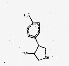 NC1CNCC1c1ccc(C(F)(F)F)cc1